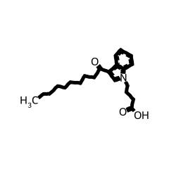 CCCCCCCCCC(=O)c1cn(CCCC(=O)O)c2ccccc12